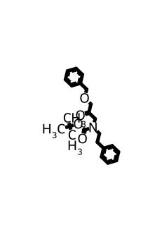 CC(C)(C)OC(=O)N(CCc1ccccc1)CC(=O)COCc1ccccc1